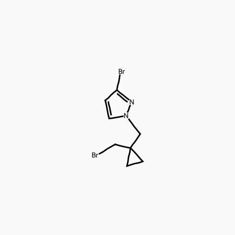 BrCC1(Cn2ccc(Br)n2)CC1